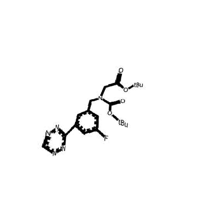 CC(C)(C)OC(=O)CN(Cc1cc(F)cc(-c2nncnn2)c1)C(=O)OC(C)(C)C